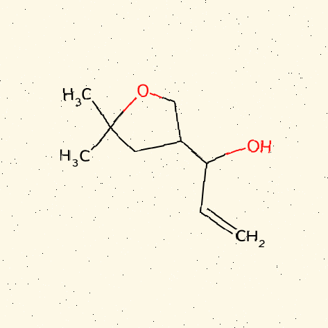 C=CC(O)C1COC(C)(C)C1